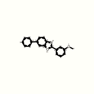 COc1cccc(-c2nc3ccc(-c4ccccc4)cc3o2)c1